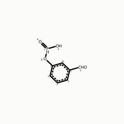 O=Cc1cccc(O[PH](=O)O)c1